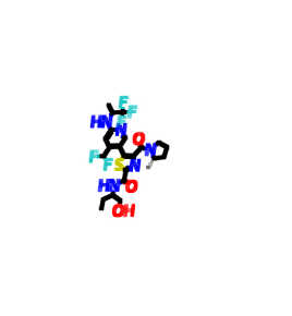 CCC(CO)NC(=O)c1nc(C(=O)N2CCC[C@@H]2C)c(-c2cnc(NC(C)C(F)(F)F)cc2C(F)F)s1